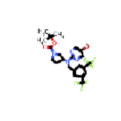 CC(C)(C)OC(=O)N1CCC(N(Cc2cc(C(F)(F)F)cc(C(F)(F)F)c2)c2ncc(Br)cn2)C1